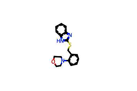 c1ccc(N2CCOCC2)c(CSc2nc3ccccc3[nH]2)c1